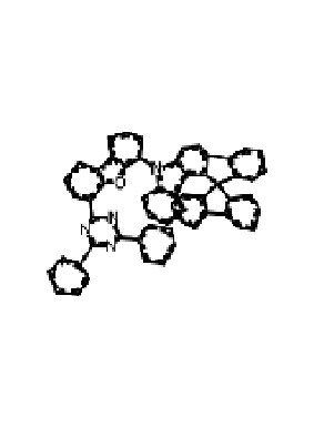 c1ccc(-c2nc(-c3ccccc3)nc(-c3cccc4c3oc3c(-n5c6ccccc6c6c7c(ccc65)-c5ccccc5C75c6ccccc6-c6ccccc65)cccc34)n2)cc1